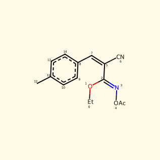 CCOC(=NOC(C)=O)C(C#N)=Cc1ccc(C)cc1